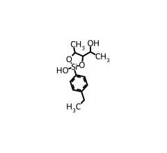 CCc1ccc([Si]2(O)OC(C)C(C(C)O)O2)cc1